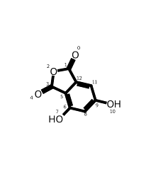 O=C1OC(=O)c2c(O)cc(O)cc21